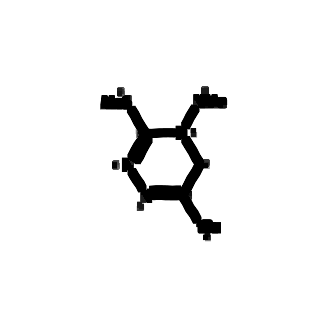 CNN1CC(C(C)(C)C)=NN=C1SC